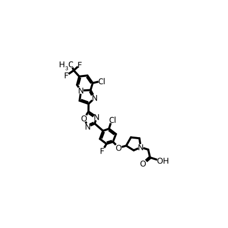 CC(F)(F)c1cc(Cl)c2nc(-c3nc(-c4cc(F)c(OC5CCN(CC(=O)O)C5)cc4Cl)no3)cn2c1